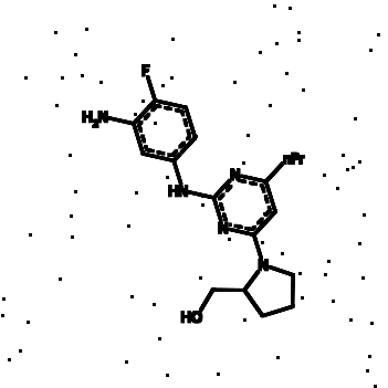 CCCc1cc(N2CCCC2CO)nc(Nc2ccc(F)c(N)c2)n1